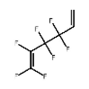 C=CC(F)(F)C(F)(F)C(F)=C(F)F